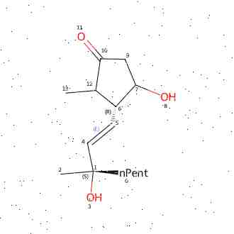 CCCCC[C@](C)(O)/C=C/[C@H]1C(O)CC(=O)C1C